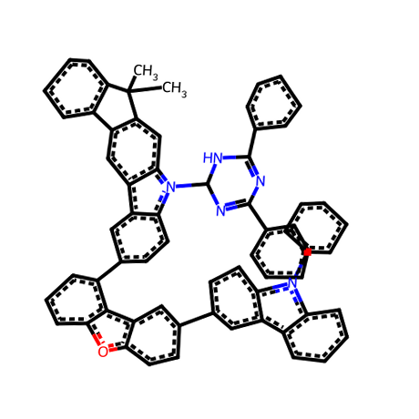 CC1(C)c2ccccc2-c2cc3c4cc(-c5cccc6oc7ccc(-c8ccc9c(c8)c8ccccc8n9-c8ccccc8)cc7c56)ccc4n(C4N=C(c5ccccc5)N=C(c5ccccc5)N4)c3cc21